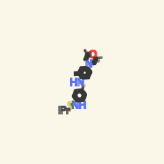 Cc1cc(N2C[C@@H](C)O[C@@H](C)C2)ccc1NC[C@H]1CC[C@H](NSC(C)C)CC1